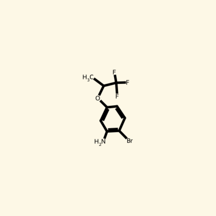 CC(Oc1ccc(Br)c(N)c1)C(F)(F)F